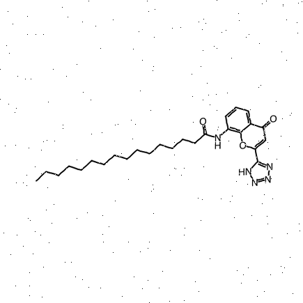 CCCCCCCCCCCCCCCC(=O)Nc1cccc2c(=O)cc(-c3nnn[nH]3)oc12